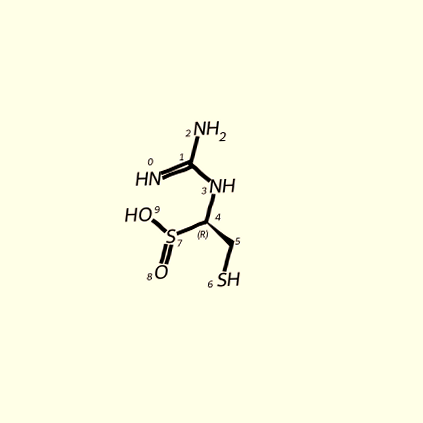 N=C(N)N[C@@H](CS)S(=O)O